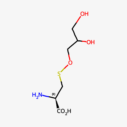 N[C@@H](CSOCC(O)CO)C(=O)O